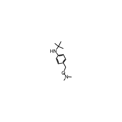 CN(C)OCc1ccc(NC(C)(C)C)cc1